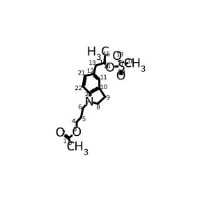 CC(=O)OCCCN1CCc2cc(CC(C)OS(C)(=O)=O)ccc21